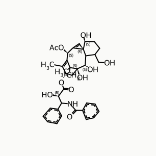 CC(=O)O[C@H]1C2=C[C@@]23C(C(CO)CC[C@@H]3O)[C@H](O)[C@]2(O)C[C@H](OC(=O)[C@H](O)C(NC(=O)c3ccccc3)c3ccccc3)C(C)=C1C2(C)C